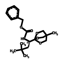 CC(C)(C)C[C@H](NC(=O)OCc1ccccc1)C12OCC(C)(CO1)CO2